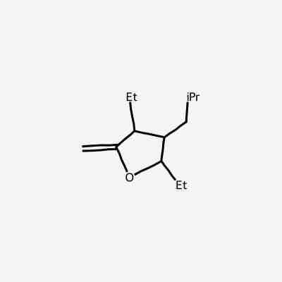 C=C1OC(CC)C(CC(C)C)C1CC